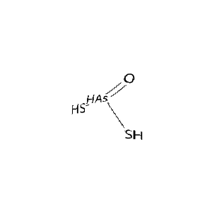 O=[AsH](S)S